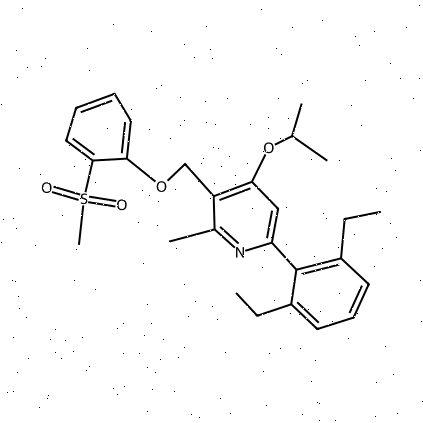 CCc1cccc(CC)c1-c1cc(OC(C)C)c(COc2ccccc2S(C)(=O)=O)c(C)n1